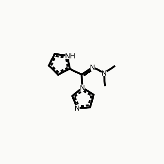 CN(C)N=C(c1ccc[nH]1)n1ccnc1